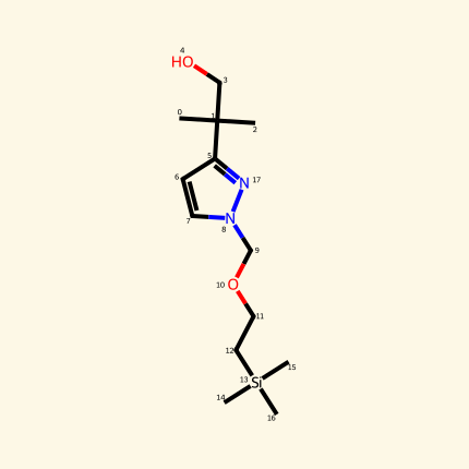 CC(C)(CO)c1ccn(COCC[Si](C)(C)C)n1